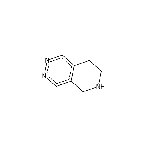 [c]1nncc2c1CNCC2